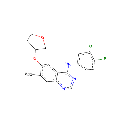 CC(=O)Oc1cc2ncnc(Nc3ccc(F)c(Cl)c3)c2cc1OC1CCOC1